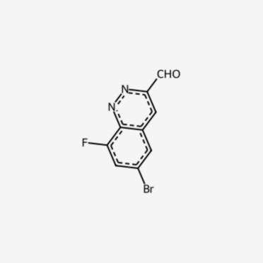 O=Cc1cc2cc(Br)cc(F)c2nn1